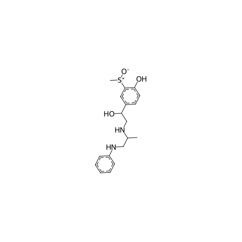 CC(CNc1ccccc1)NCC(O)c1ccc(O)c([S+](C)[O-])c1